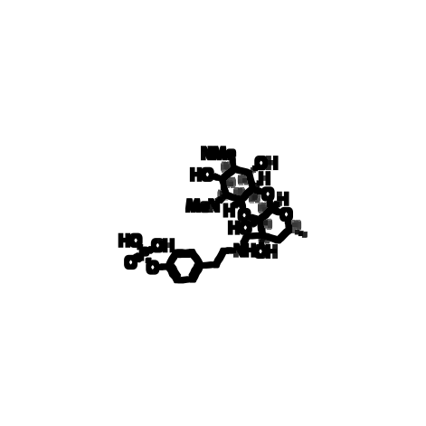 CN[C@@H]1[C@H](O)[C@H](NC)[C@H]2O[C@]3(O)[C@H](O[C@@H]2[C@H]1O)O[C@H](C)C[C@@]3(O)CNCCc1ccc(OP(=O)(O)O)cc1